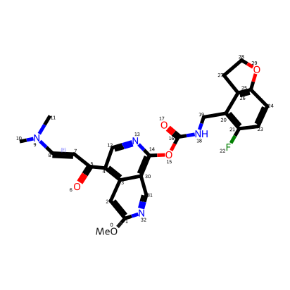 COc1cc2c(C(=O)/C=C/N(C)C)cnc(OC(=O)NCc3c(F)ccc4c3CCO4)c2cn1